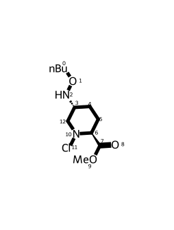 CCCCON[C@@H]1CC[C@@H](C(=O)OC)N(Cl)C1